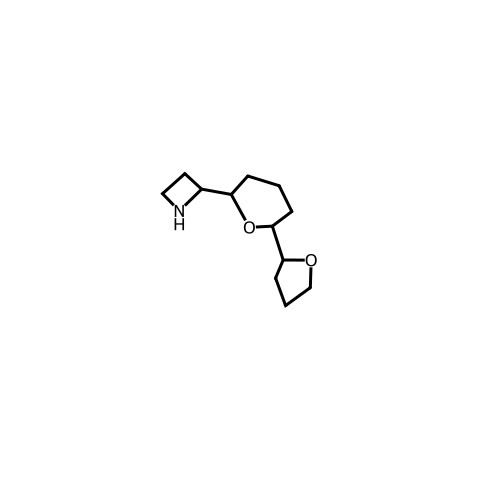 C1COC(C2CCCC(C3CCN3)O2)C1